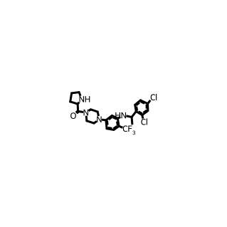 CC(Nc1cc(N2CCN(C(=O)C3CCCN3)CC2)ccc1C(F)(F)F)c1ccc(Cl)cc1Cl